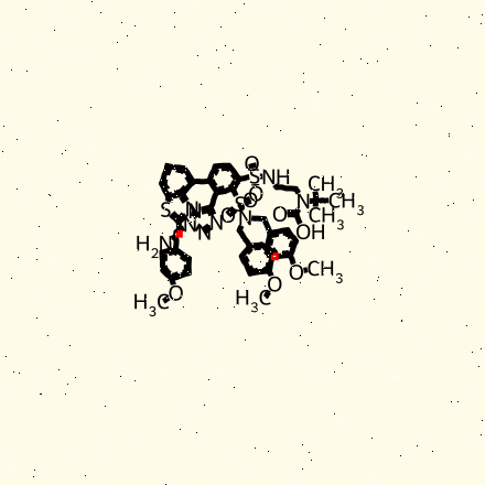 COc1ccc(CN(Cc2ccc(OC)cc2)S(=O)(=O)c2c(S(=O)(=O)NCCN(C(=O)O)C(C)(C)C)ccc(-c3cccc4sc(CN)nc34)c2-c2nnn(Cc3ccc(OC)cc3)n2)cc1